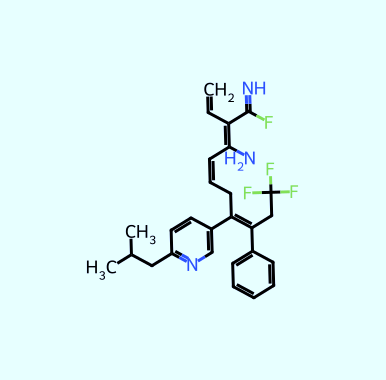 C=C/C(C(=N)F)=C(N)\C=C/C/C(=C(\CC(F)(F)F)c1ccccc1)c1ccc(CC(C)C)nc1